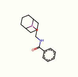 O=C(NCCP1C2CCCC1CCC2)c1ccccc1